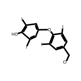 Oc1c(I)cc(Oc2c(I)cc(CCl)cc2I)cc1I